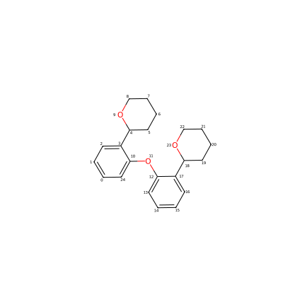 c1ccc(C2CCCCO2)c(Oc2ccccc2C2CCCCO2)c1